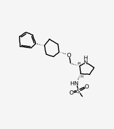 CS(=O)(=O)N[C@H]1CCN[C@H]1CO[C@H]1CC[C@@H](c2ccccc2)CC1